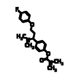 CN(C)C(=O)Oc1ccc(C(CCOc2ccc(F)cc2)N(C)C)cc1